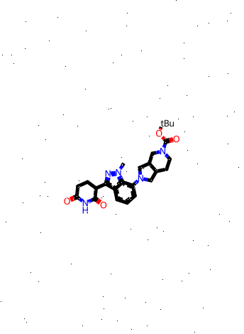 Cn1nc(C2CCC(=O)NC2=O)c2cccc(N3CC4CCN(C(=O)OC(C)(C)C)CC4C3)c21